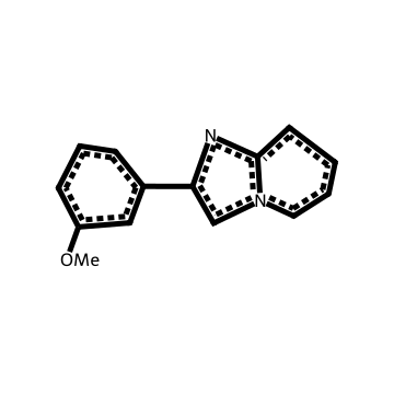 COc1cccc(-c2cn3ccccc3n2)c1